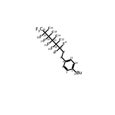 CCC(C)c1ccc(CCC(F)(F)C(F)(F)C(F)(F)C(F)(F)C(F)(F)C(F)(F)F)cc1